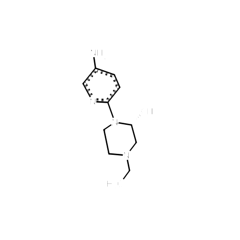 CCN1CCN(c2ccc(N)cn2)[C@H](C)C1